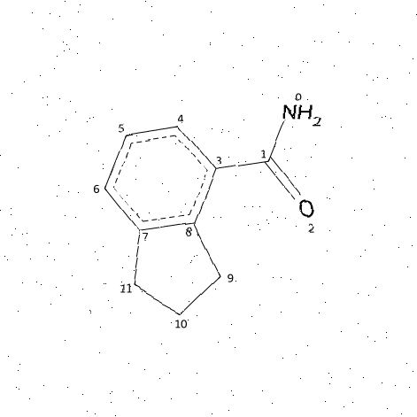 NC(=O)c1cccc2c1CCC2